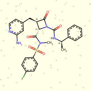 C[C@@H](NC(=O)N1C(=O)[C@H](Cc2ccnc(N)c2)[C@H]1C(=O)N(C)S(=O)(=O)c1ccc(F)cc1)c1ccccc1